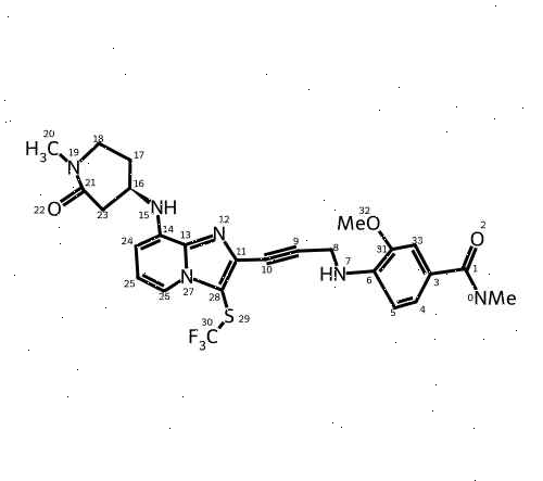 CNC(=O)c1ccc(NCC#Cc2nc3c(N[C@@H]4CCN(C)C(=O)C4)cccn3c2SC(F)(F)F)c(OC)c1